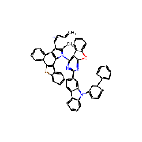 C=C/C=C\c1c(C)n(-c2nc(-c3ccc4c5ccccc5n(-c5cccc(-c6ccccc6)c5)c4c3)nc3oc4ccccc4c23)c2c1c1ccccc1c1sc3ccccc3c12